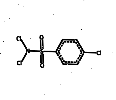 O=S(=O)(c1ccc(Cl)cc1)N(Cl)Cl